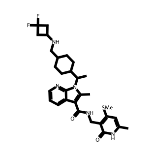 CSc1cc(C)[nH]c(=O)c1CNC(=O)c1c(C)n(C(C)C2CCC(CNC3CC(F)(F)C3)CC2)c2ncccc12